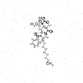 CCCCCCCCc1c2c([n+]([O-])c3ccccc13)-c1cc3c(c(=O)n1C2)COC(=O)[C@]3(O)CC